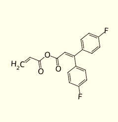 C=CC(=O)OC(=O)C=C(c1ccc(F)cc1)c1ccc(F)cc1